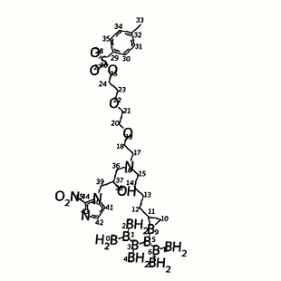 BB(B)B(B)B(B(B)B)B1CC1CCCCN(CCOCCOCCOS(=O)(=O)c1ccc(C)cc1)CC(O)Cn1ccnc1[N+](=O)[O-]